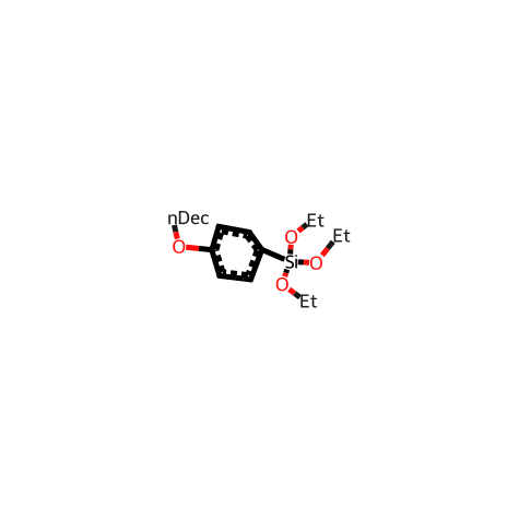 CCCCCCCCCCOc1ccc([Si](OCC)(OCC)OCC)cc1